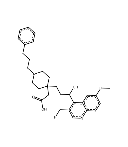 COc1ccc2ncc(CF)c(C(O)CCC3(CC(=O)O)CCN(CCCc4ccccc4)CC3)c2c1